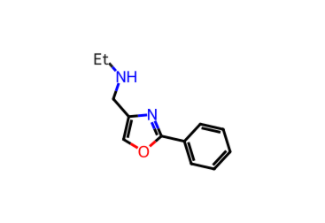 CCNCc1coc(-c2ccccc2)n1